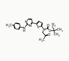 CC(=O)CN(C(=O)OC(C)(C)C)c1ccc(-c2ccnc(Nc3ccc(C)cc3)n2)s1